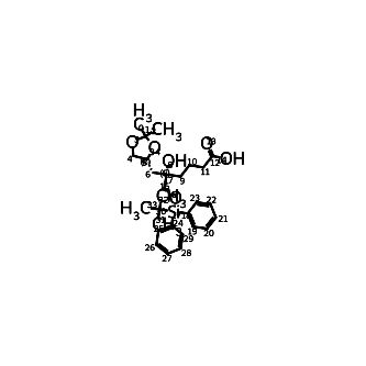 CC1(C)OC[C@@H](C[C@@](O)(CCCC(=O)O)CO[Si](c2ccccc2)(c2ccccc2)C(C)(C)C)O1